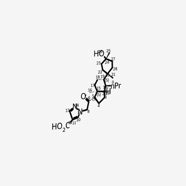 CCC[C@H]1[C@@H]2CC[C@H](C(=O)Cn3cc(C(=O)O)cn3)[C@@]2(C)CC[C@@H]1[C@]1(C)CC[C@](C)(O)CC1